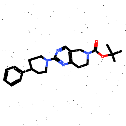 CC(C)(C)OC(=O)N1CCc2nc(N3CCC(c4ccccc4)CC3)ncc2C1